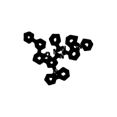 c1ccc(-c2cccc(-c3cccc4c3oc3c(-c5nc(-c6ccccc6)nc(-c6cccc7c6c6ccccc6n7-c6ccccc6)n5)cc(-n5c6ccccc6c6ccccc65)cc34)c2)cc1